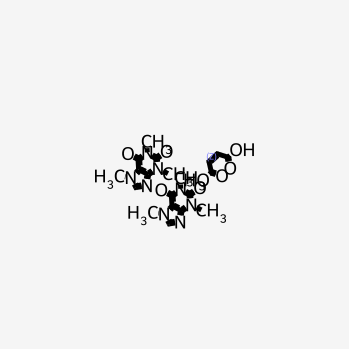 Cn1c(=O)c2c(ncn2C)n(C)c1=O.Cn1c(=O)c2c(ncn2C)n(C)c1=O.O=C(O)/C=C\C(=O)O